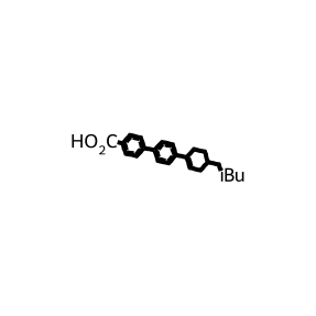 CCC(C)CC1CC=C(c2ccc(-c3ccc(C(=O)O)cc3)cc2)CC1